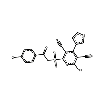 N#Cc1c(N)nc(S(=O)(=O)CC(=O)c2ccc(Cl)cc2)c(C#N)c1-c1ccsc1